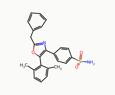 Cc1cccc(C)c1-c1oc(Cc2ccccc2)nc1-c1ccc(S(N)(=O)=O)cc1